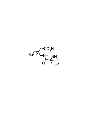 CC[C@@H](C)C[C@H](CNC(=O)[C@@H](N)CC(C)C)CC(=O)O